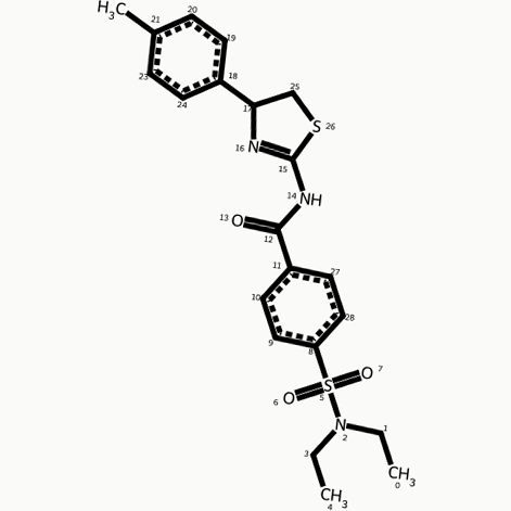 CCN(CC)S(=O)(=O)c1ccc(C(=O)NC2=NC(c3ccc(C)cc3)CS2)cc1